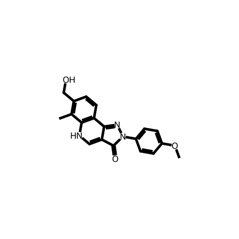 COc1ccc(-n2nc3c4ccc(CO)c(C)c4[nH]cc-3c2=O)cc1